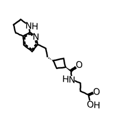 O=C(O)CCNC(=O)[C@H]1C[C@H](CCc2ccc3c(n2)NCCC3)C1